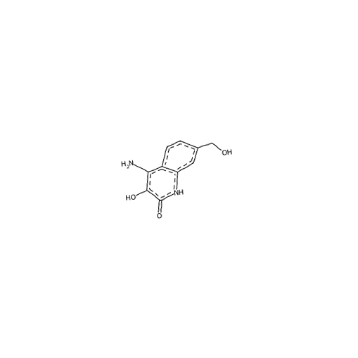 Nc1c(O)c(=O)[nH]c2cc(CO)ccc12